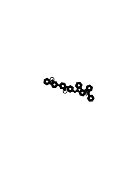 c1ccc(-n2c3ccccc3c3c4c(ccc32)C(Cc2ccc3c(c2)oc2cc(-c5ccc6c(c5)oc5ccccc56)ccc23)c2ccccc2-4)cc1